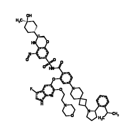 CC(C)c1ccccc1C1CCCN1C1CC2(CCN(c3ccc(C(=O)NS(=O)(=O)c4cc(N=O)c5c(c4)OC[C@H]([C@H]4CC[C@](C)(O)CC4)N5)c(Oc4cc5c(F)c[nH]c5nc4OCCN4CCOCC4)c3)CC2)C1